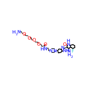 NCCOCCOCCOCCOCCC(=O)NCCN1CCN(c2ccc3[nH]c(-c4c(N)c5c(F)cccc5[nH]c4=O)nc3c2)CC1